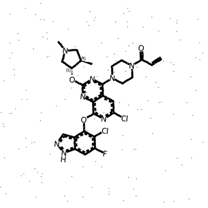 C=CC(=O)N1CCN(c2nc(O[C@@H]3CN(C)C[C@H]3C)nc3c(Oc4c(Cl)c(F)cc5[nH]ncc45)nc(Cl)cc23)CC1